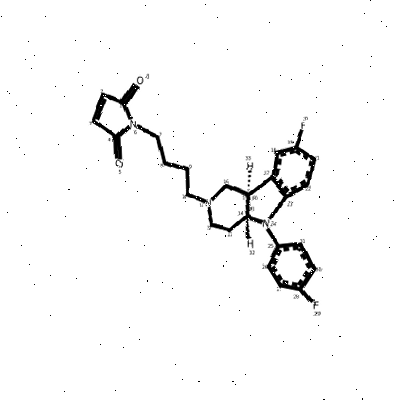 O=C1C=CC(=O)N1CCCCN1CC[C@@H]2[C@@H](C1)c1cc(F)ccc1N2c1ccc(F)cc1